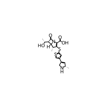 C[C@H]1C=C(c2csc(SC3=C(C(=O)O)N4C(=O)[C@H]([C@@H](C)O)[C@H]4[C@H]3C)c2)CN1